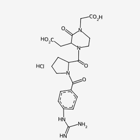 Cl.N=C(N)Nc1ccc(C(=O)N2CCCC2C(=O)N2CCN(CC(=O)O)C(=O)C2CC(=O)O)cc1